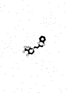 COC(=O)C1CN(CCC2COc3ccccc3O2)CCC1=O